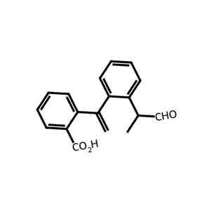 C=C(c1ccccc1C(=O)O)c1ccccc1C(C)C=O